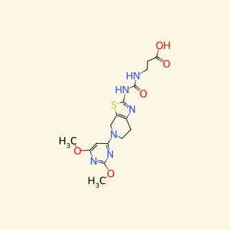 COc1cc(N2CCc3nc(NC(=O)NCCC(=O)O)sc3C2)nc(OC)n1